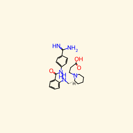 N=C(N)c1ccc(NC(=O)c2ccccc2NC[C@H]2CCCCN2CCC(=O)O)cc1